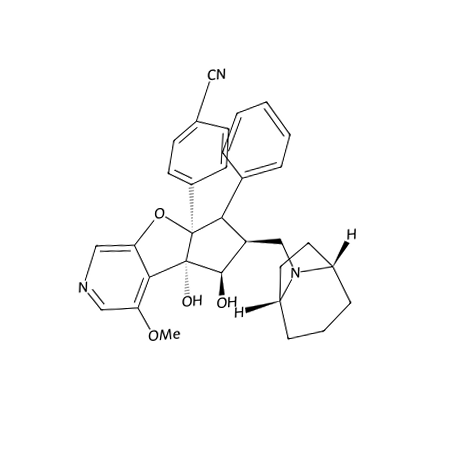 COc1cncc2c1[C@]1(O)[C@H](O)[C@H](CN3[C@@H]4CCC[C@H]3CC4)C(c3ccccc3)[C@]1(c1ccc(C#N)cc1)O2